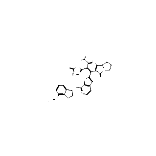 COc1cccc2c1CC[C@H]2Nc1nccc2cc(-c3c4c(nc(C(C)C)c3-c3n[nH]c(=O)o3)[C@@H]3CCCN3C4=O)sc12